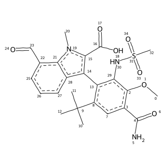 COc1c(C(N)=O)cc(C(C)(C)C)c(-c2c(C(=O)O)n(C)c3c(C=O)cccc23)c1NS(C)(=O)=O